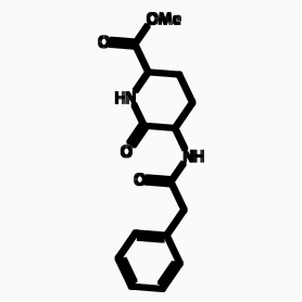 COC(=O)C1CCC(NC(=O)Cc2ccccc2)C(=O)N1